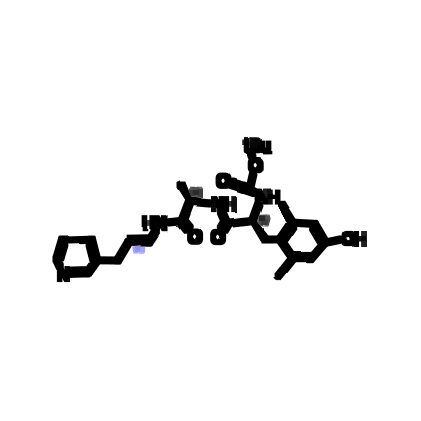 Cc1cc(O)cc(C)c1C[C@H](NC(=O)OC(C)(C)C)C(=O)N[C@H](C)C(=O)N/C=C/Cc1cccnc1